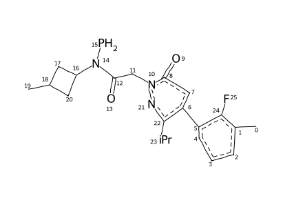 Cc1cccc(-c2cc(=O)n(CC(=O)N(P)C3CC(C)C3)nc2C(C)C)c1F